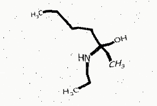 CCCCC(C)(O)NCC